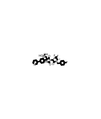 C[C@H](N(Cc1ccc(F)cc1)C(=O)CN1C(=O)NC2(CS(O)(O)c3cc(-c4cccnc4)ccc32)C1=O)C(F)(F)F